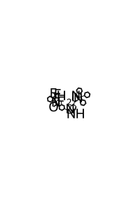 CN(C(=O)c1ccc(C2=CNC3C=CC(/C(=C/N(N)C(c4ccccc4)(c4ccccc4)c4ccccc4)CI)=CN23)cc1F)c1ccccc1C(F)(F)F